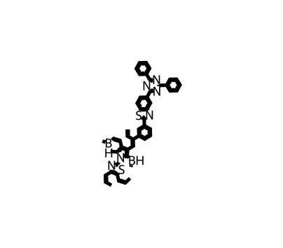 C=C/C(=C\c1c(/C=C\BC)c(C)n(-c2nc(/C=C\C)c(/C=C\C)s2)c1BC)c1cccc(-c2nc3cc(-c4nc(-c5ccccc5)nc(-c5ccccc5)n4)ccc3s2)c1